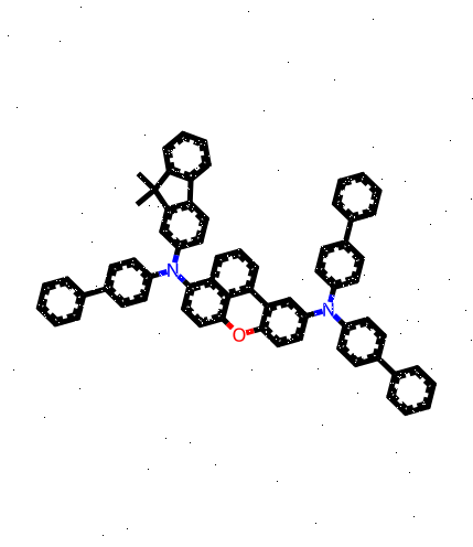 CC1(C)c2ccccc2-c2ccc(N(c3ccc(-c4ccccc4)cc3)c3ccc4c5c(cccc35)-c3cc(N(c5ccc(-c6ccccc6)cc5)c5ccc(-c6ccccc6)cc5)ccc3O4)cc21